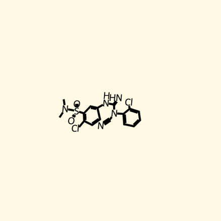 CN(C)S(=O)(=O)c1cc(NC(=N)N(C#N)c2ccccc2Cl)ccc1Cl